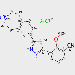 CC(C)Oc1c(C#N)cccc1-c1nnc(-c2ccc3c(c2)CCNCC3)s1.Cl